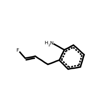 Nc1ccccc1C/C=C/F